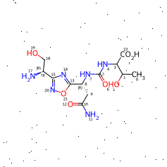 CC(O)C(NC(=O)N[C@H](CC(N)=O)c1nc([C@@H](N)CO)no1)C(=O)O